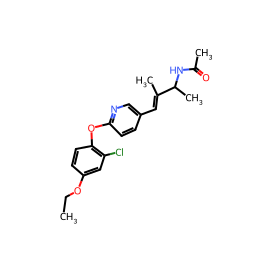 CCOc1ccc(Oc2ccc(/C=C(\C)C(C)NC(C)=O)cn2)c(Cl)c1